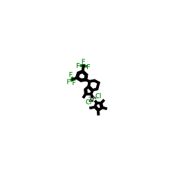 CC1=CC2=C(CCCC2c2cc(C(F)(F)F)cc(C(F)(F)F)c2)[CH]1[Zr]([Cl])([Cl])[CH]1C(C)=C(C)C(C)=C1C